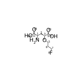 NC(C[C@H](OCCCF)C(=O)O)C(=O)O